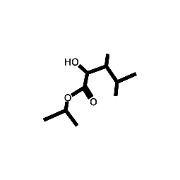 CC(C)OC(=O)C(O)C(C)C(C)C